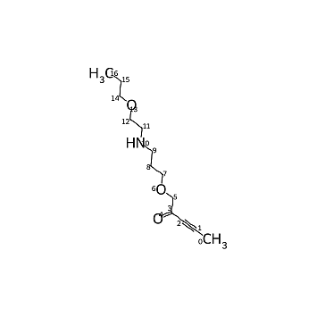 CC#CC(=O)COCCCNCCOCCC